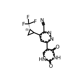 N#Cc1nnc(-c2c[nH]c(=O)[nH]c2=O)cc1C1C[C@@H]1C(F)(F)F